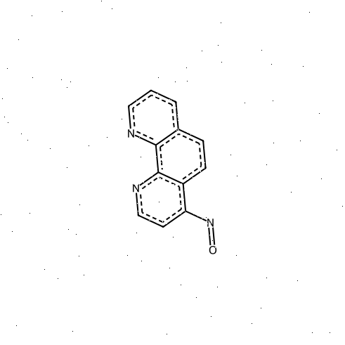 O=Nc1ccnc2c1ccc1cccnc12